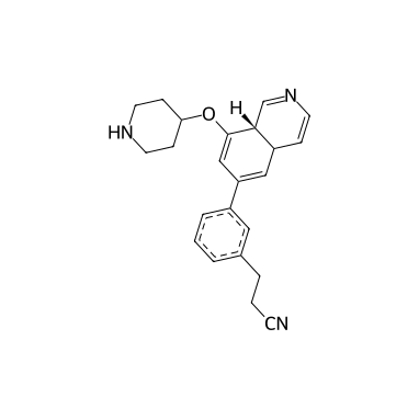 N#CCCc1cccc(C2=CC3C=CN=C[C@H]3C(OC3CCNCC3)=C2)c1